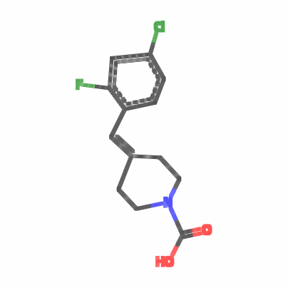 O=C(O)N1CCC(=Cc2ccc(Cl)cc2F)CC1